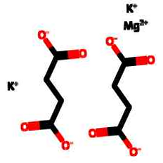 O=C([O-])CCC(=O)[O-].O=C([O-])CCC(=O)[O-].[K+].[K+].[Mg+2]